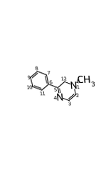 CN1C=CN=C(c2ccccc2)C1